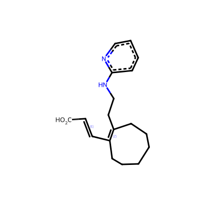 O=C(O)/C=C/C1=C(\CCNc2ccccn2)CCCCCC1